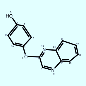 Oc1ccc(Oc2cnc3ccccc3n2)cc1